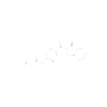 CC(C)(C)OC(=O)Nc1cnc(C(=O)N2Cc3ccccc3C2=O)cn1